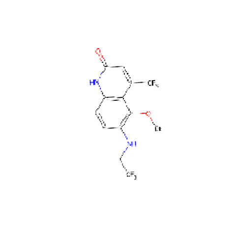 CCOc1c(NCC(F)(F)F)ccc2[nH]c(=O)cc(C(F)(F)F)c12